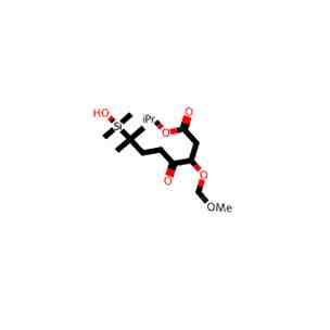 COCOC(CC(=O)OC(C)C)C(=O)CCC(C)(C)[Si](C)(C)O